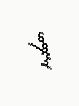 CCCOCCn1c(=O)c(NCC(=O)NC[C@H](C)O)nc2cnc(-c3ccc(OC)nc3)cc21